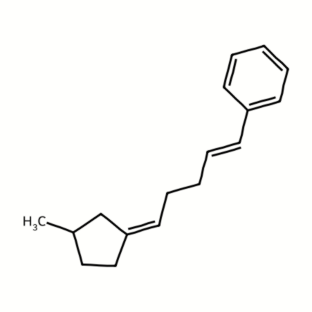 CC1CCC(=CCCC=Cc2ccccc2)C1